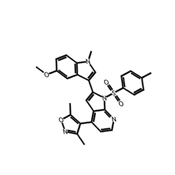 COc1ccc2c(c1)c(-c1cc3c(-c4c(C)noc4C)ccnc3n1S(=O)(=O)c1ccc(C)cc1)cn2C